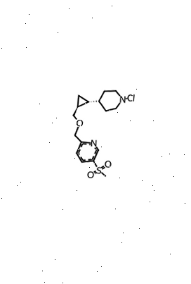 CS(=O)(=O)c1ccc(COC[C@H]2C[C@@H]2C2CCN(Cl)CC2)nc1